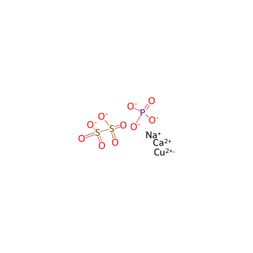 O=P([O-])([O-])[O-].O=S(=O)([O-])S(=O)(=O)[O-].[Ca+2].[Cu+2].[Na+]